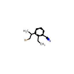 [CH2]C(CBr)c1cccc(C#N)c1CC